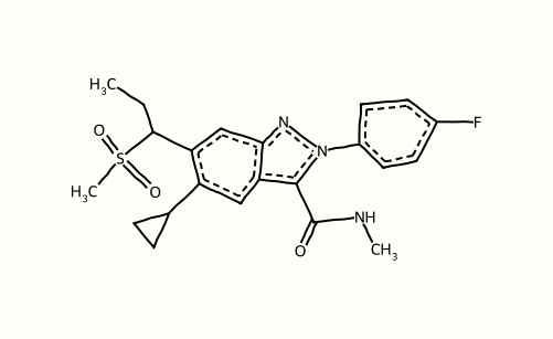 CCC(c1cc2nn(-c3ccc(F)cc3)c(C(=O)NC)c2cc1C1CC1)S(C)(=O)=O